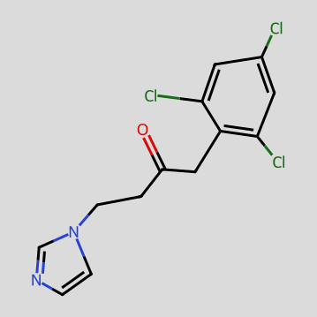 O=C(CCn1ccnc1)Cc1c(Cl)cc(Cl)cc1Cl